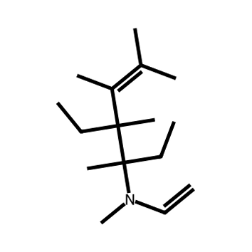 C=CN(C)C(C)(CC)C(C)(CC)C(C)=C(C)C